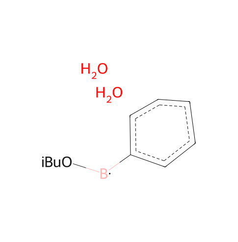 CC(C)CO[B]c1ccccc1.O.O